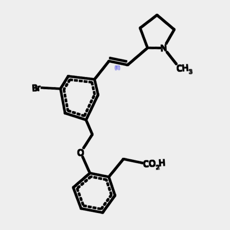 CN1CCCC1/C=C/c1cc(Br)cc(COc2ccccc2CC(=O)O)c1